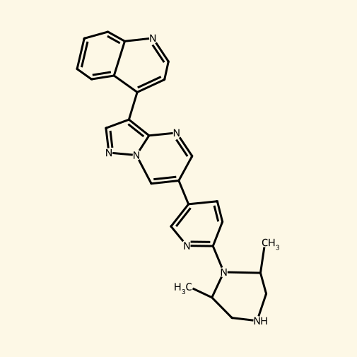 CC1CNCC(C)N1c1ccc(-c2cnc3c(-c4ccnc5ccccc45)cnn3c2)cn1